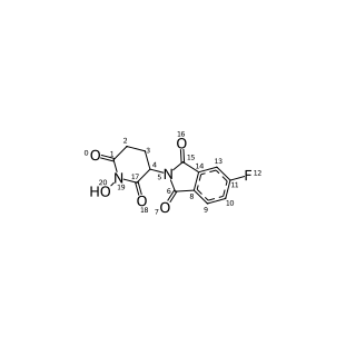 O=C1CCC(N2C(=O)c3ccc(F)cc3C2=O)C(=O)N1O